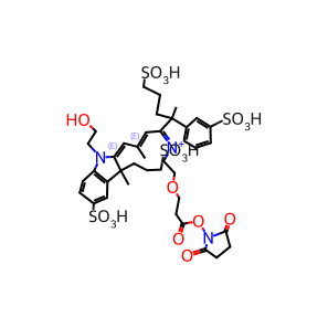 CC(=C\C1=[N+](CCOCCC(=O)ON2C(=O)CCC2=O)c2ccc(S(=O)(=O)O)cc2C1(C)CCCS(=O)(=O)O)/C=C1/N(CCO)c2ccc(S(=O)(=O)O)cc2C1(C)CCCS(=O)(=O)O